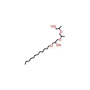 CCCCCCCCCCCCOCC(O)COC(C)COC(C)CO